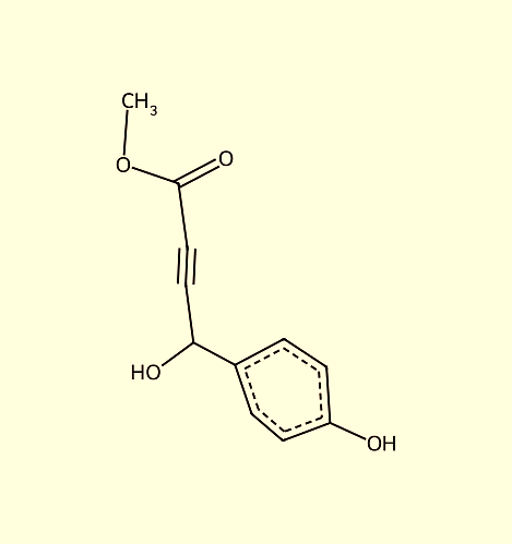 COC(=O)C#CC(O)c1ccc(O)cc1